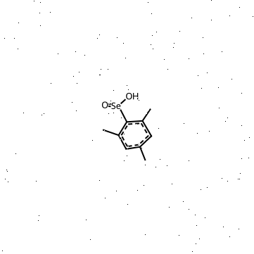 Cc1cc(C)c([Se](=O)O)c(C)c1